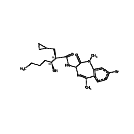 CCCC[C@H](O)[C@@H](CC1CC1)C(=O)NC1N=C(C)c2ccc(Br)cc2N(C)C1=O